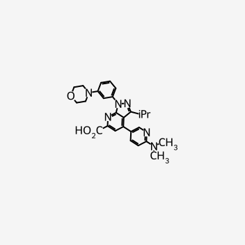 CC(C)c1nn(-c2cccc(N3CCOCC3)c2)c2nc(C(=O)O)cc(-c3ccc(N(C)C)nc3)c12